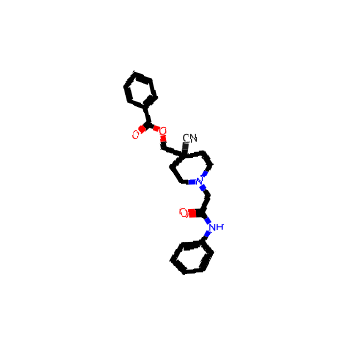 N#CC1(COC(=O)c2ccccc2)CCN(CC(=O)Nc2ccccc2)CC1